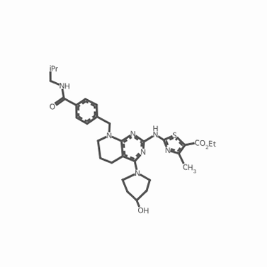 CCOC(=O)c1sc(Nc2nc(N3CCC(O)CC3)c3c(n2)N(Cc2ccc(C(=O)NCC(C)C)cc2)CCC3)nc1C